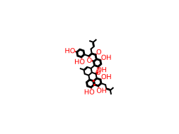 CC(C)=CCc1c(O)ccc(C(=O)C2C(c3c(O)cc(O)c4c(=O)c(CC=C(C)C)c(-c5ccc(O)cc5O)oc34)C=C(C)CC2c2ccc(O)cc2)c1O